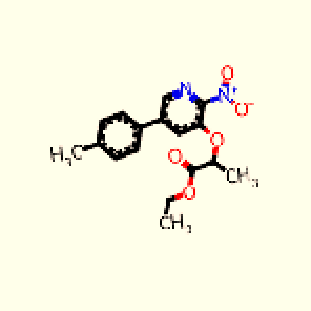 CCOC(=O)C(C)Oc1cc(-c2ccc(C)cc2)cnc1[N+](=O)[O-]